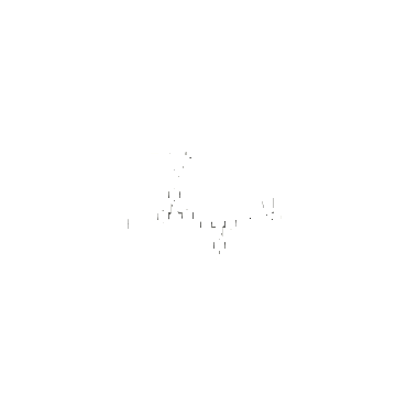 CCC1(COCCc2ccc(N(c3ccc(C)cc3)c3ccc(-c4ccc(N(c5ccc(C)cc5)c5ccc(CCOCC6(CC)COC6)cc5)cc4)cc3)cc2)COC1